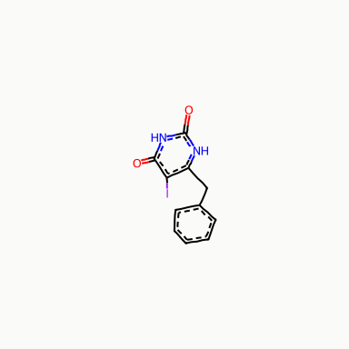 O=c1[nH]c(Cc2ccccc2)c(I)c(=O)[nH]1